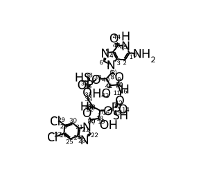 Nc1cc2c(ncn2[C@@H]2O[C@@H]3COP(=O)(S)OC4C(O)[C@H](n5cnc6cc(Cl)c(Cl)cc65)O[C@@H]4COP(=O)(S)OC2C3O)c(=O)[nH]1